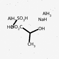 CC(O)C(=O)O.O=S(=O)(O)O.[AlH3].[AlH3].[NaH]